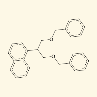 c1ccc(COCC(COCc2ccccc2)c2cccc3ccccc23)cc1